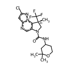 CC1(C)CC(NC(=O)N2C[C@@](C)(C(F)(F)F)c3c2cnc2cc(Cl)nn32)CCO1